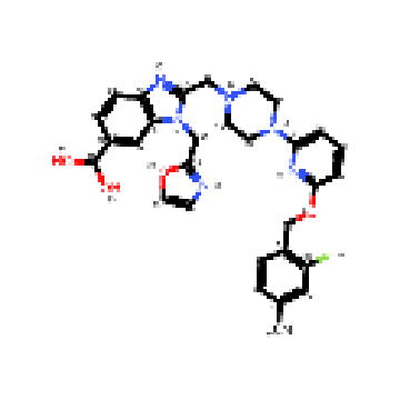 N#Cc1ccc(COc2cccc(N3CCN(Cc4nc5ccc(C(O)O)cc5n4Cc4ncco4)CC3)n2)c(F)c1